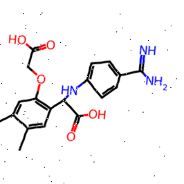 Cc1cc(OCC(=O)O)c(C(Nc2ccc(C(=N)N)cc2)C(=O)O)cc1C